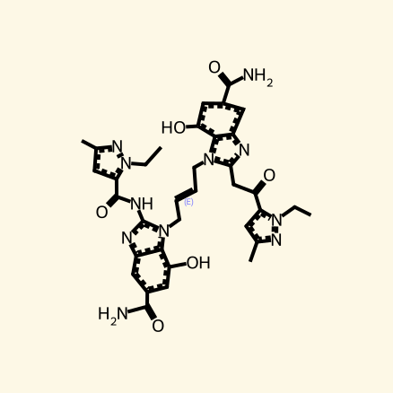 CCn1nc(C)cc1C(=O)Cc1nc2cc(C(N)=O)cc(O)c2n1C/C=C/Cn1c(NC(=O)c2cc(C)nn2CC)nc2cc(C(N)=O)cc(O)c21